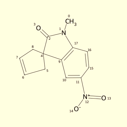 CN1C(=O)C2(CC=CC2)c2cc([N+](=O)[O-])ccc21